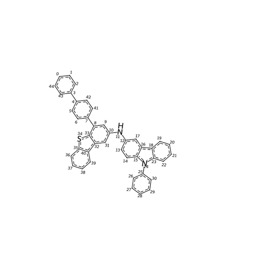 c1ccc(-c2ccc(-c3cc(Nc4ccc5c(c4)c4ccccc4n5-c4ccccc4)cc4c3sc3ccccc34)cc2)cc1